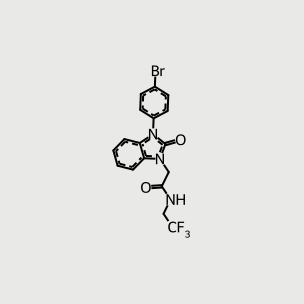 O=C(Cn1c(=O)n(-c2ccc(Br)cc2)c2ccccc21)NCC(F)(F)F